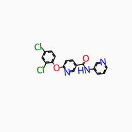 O=C(Nc1cccnc1)c1ccc(Oc2ccc(Cl)cc2Cl)nc1